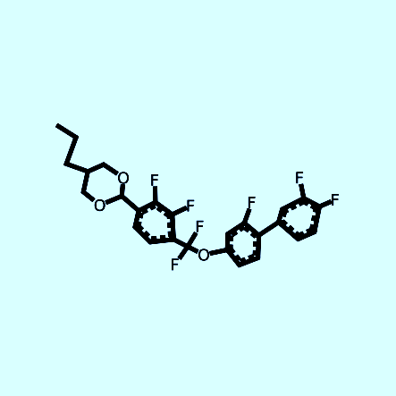 CCCC1COC(c2ccc(C(F)(F)Oc3ccc(-c4ccc(F)c(F)c4)c(F)c3)c(F)c2F)OC1